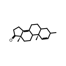 CC1C=C[C@@]2(C)C(CCC3=C4CCC(=O)[C@@]4(C)CCC32)C1